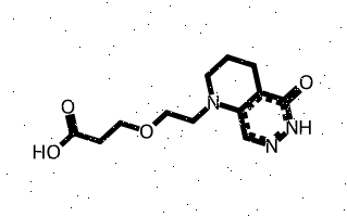 O=C(O)CCOCCN1CCCc2c1cn[nH]c2=O